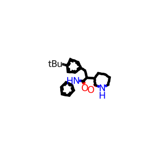 CC(C)(C)c1ccc(CC(C(=O)Nc2ccccc2)C2CCCCNC2=O)cc1